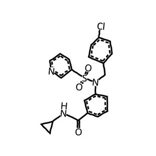 O=C(NC1CC1)c1cccc(N(Cc2ccc(Cl)cc2)S(=O)(=O)c2cccnc2)c1